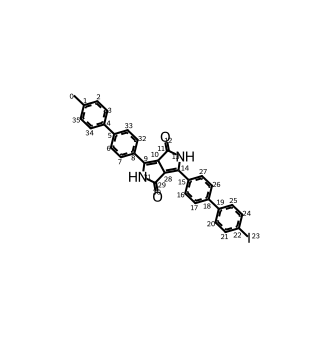 Cc1ccc(-c2ccc(C3=C4C(=O)NC(c5ccc(-c6ccc(I)cc6)cc5)=C4C(=O)N3)cc2)cc1